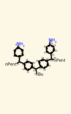 CCCCCC(c1ccc(N)cc1)c1ccc(C(CCCC)c2ccc(C(CCCCC)c3ccc(N)cc3)cc2)cc1